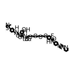 Cc1ncsc1-c1ccc([C@H](C)NC(=O)[C@@H]2C[C@@H](O)CN2C(=O)C(NC(=O)COCCOCCOCCOc2ccc(C(=O)Nc3ccc(N4CCN(c5ccccn5)CC4)cc3)c(F)c2)C(C)(C)C)cc1